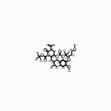 C=C(C)C1CC(OC(=O)OC(C)(C)C)C(CC(Cc2ccc(OC)c(OCCCOC)c2)C(C)C)N(C(=O)OC(C)(C)C)C1=O